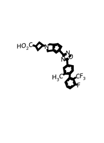 Cc1cc(-c2nc(-c3ccc4c(c3)CN(C3CC(C(=O)O)C3)C4)no2)ccc1-c1cccc(F)c1C(F)(F)F